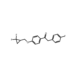 O=C(Cc1ccc(F)cc1)c1ccc(OCC2CC2(F)F)cc1